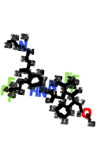 C=C1C=C(C(=C)C(CCOC)c2ccccc2)C(C(F)(F)F)=CN=C1Nc1ccc(C(=C)CCCN(C)CCC)c(CCC(F)(F)F)c1